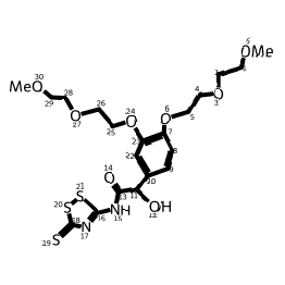 COCCOCCOc1ccc(C(O)C(=O)Nc2nc(=S)ss2)cc1OCCOCCOC